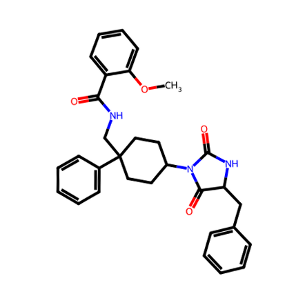 COc1ccccc1C(=O)NCC1(c2ccccc2)CCC(N2C(=O)NC(Cc3ccccc3)C2=O)CC1